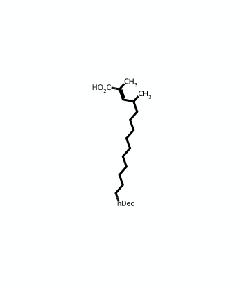 CCCCCCCCCCCCCCCCCCCCC(C)C=C(C)C(=O)O